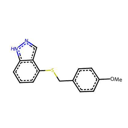 COc1ccc(CSc2cccc3[nH]ncc23)cc1